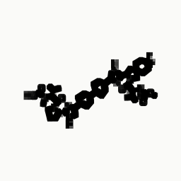 COC(=O)N[C@H](C(=O)N1CC2(CCC(F)(F)CC2)CC1c1nc(-c2ccc(-c3ccc(-c4c[nH]c([C@@H]5CCCN5C(=O)[C@H](C(C)C)N(C)C(=O)O)n4)cc3)cc2)c[nH]1)C(C)C